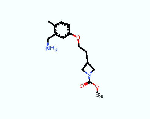 Cc1ccc(OCCC2CN(C(=O)OC(C)(C)C)C2)cc1CN